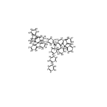 c1ccc(-c2ccc(-c3ccc(N(c4cccc(-c5ccc6c(c5)C5(c7ccccc7-6)c6ccccc6-n6c7ccccc7c7cccc5c76)c4)c4cccc5c4-c4ccccc4C5(c4ccccc4)c4ccccc4)cc3)cc2)cc1